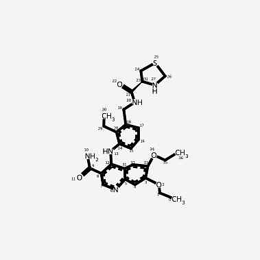 CCOc1cc2ncc(C(N)=O)c(Nc3cccc(CNC(=O)[C@H]4CSCN4)c3CC)c2cc1OCC